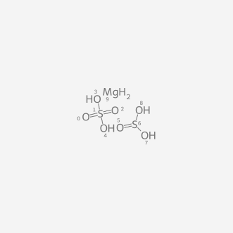 O=S(=O)(O)O.O=S(O)O.[MgH2]